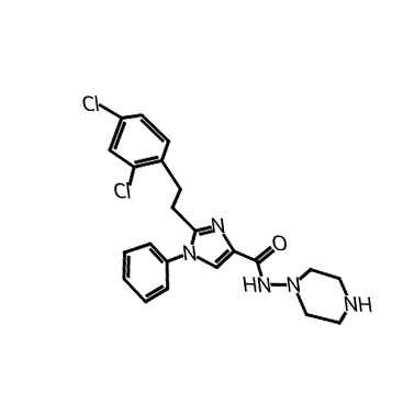 O=C(NN1CCNCC1)c1cn(-c2ccccc2)c(CCc2ccc(Cl)cc2Cl)n1